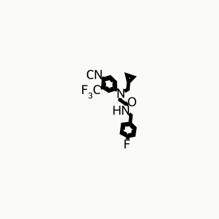 [C-]#[N+]c1ccc(N(CC(=O)NCc2ccc(F)cc2)CC2CC2)cc1C(F)(F)F